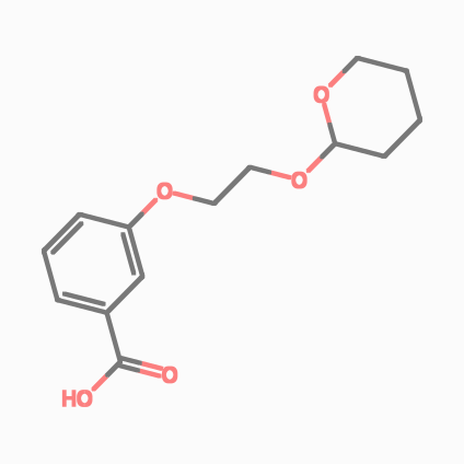 O=C(O)c1cccc(OCCOC2CCCCO2)c1